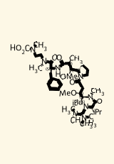 CC[C@H](C)[C@@H]([C@@H](CC(=O)N1CCC[C@H]1[C@H](OC)[C@@H](C)C(=O)N[C@@H](Cc1ccccc1)C(=O)N(C)CCN(C)C(=O)O)OC)N(C)C(=O)[C@@H](N=C(N(C)C)N(C)C)C(C)C